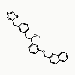 CC(Cc1cccc(Cc2nnn[nH]2)c1)c1cccc(OCc2ccc3ccccc3n2)c1